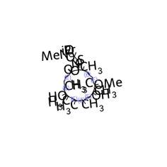 CNC(=O)OC(CC(C)C)c1nc(C2OC(=O)/C=C/C/C(C)=C/C(O)C(C)/C=C(C)/C=C(C)\C=C\C(O)C(C)C(OC)/C(C)=C/C=C/C2C)cs1